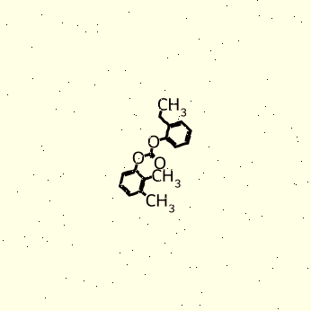 CCc1ccccc1OC(=O)Oc1cccc(C)c1C